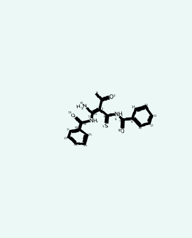 CC(=O)/C(C(=S)NC(=O)c1ccccc1)=C(\N)NC(=O)c1ccccc1